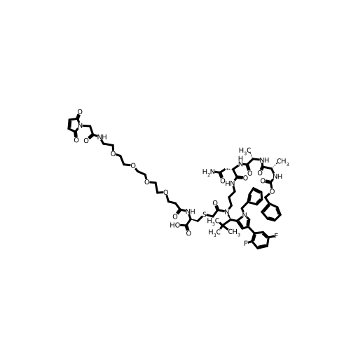 C[C@H](NC(=O)OCc1ccccc1)C(=O)N[C@@H](C)C(=O)N[C@@H](CC(N)=O)C(=O)NCCCN(C(=O)CSC[C@H](NC(=O)CCOCCOCCOCCOCCNC(=O)CN1C(=O)C=CC1=O)C(=O)O)[C@@H](c1cc(-c2cc(F)ccc2F)cn1Cc1ccccc1)C(C)(C)C